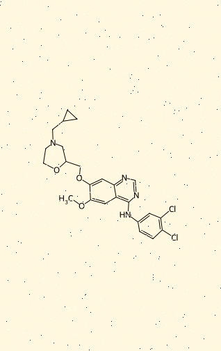 COc1cc2c(Nc3ccc(Cl)c(Cl)c3)ncnc2cc1OCC1CN(CC2CC2)CCO1